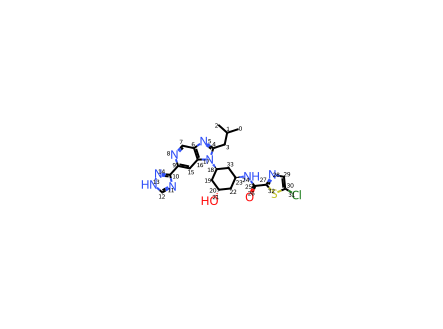 CC(C)Cc1nc2cnc(-c3nc[nH]n3)cc2n1[C@@H]1C[C@@H](O)C[C@H](NC(=O)c2ncc(Cl)s2)C1